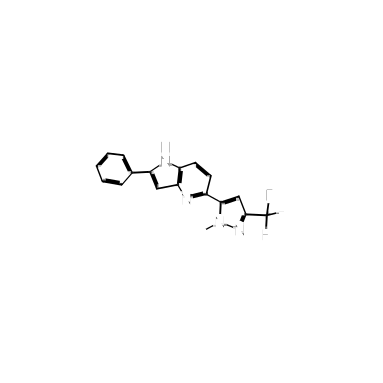 Cn1nc(C(F)(F)F)cc1-c1ccc2[nH]c(-c3ccccc3)cc2n1